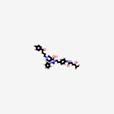 Cc1ccc(C(=O)CCCN2CCC3(CC2)C(O)N(CCc2ccc(NC(=O)CCC(=O)C(C)C)cc2)CN3c2ccccc2)cc1